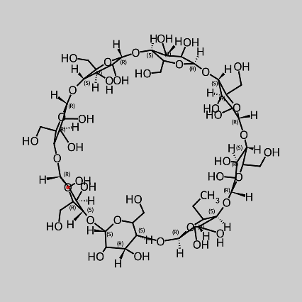 CCC1O[C@@H]2O[C@@H]3C(CO)O[C@@H](O[C@@H]4C(CO)O[C@H](OC5C(CO)O[C@H](O[C@@H]6C(CO)O[C@H](O[C@@H]7C(CO)O[C@H](O[C@@H]8C(CO)O[C@H](O[C@@H]9C(CO)O[C@H](O[C@H]1[C@H](O)C2O)C(O)[C@H]9O)C(O)[C@H]8O)C(O)[C@H]7O)C(O)[C@H]6O)C(O)[C@H]5O)C(O)[C@H]4O)C(O)[C@H]3O